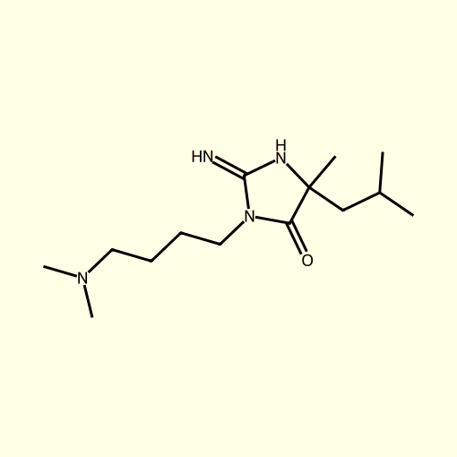 CC(C)CC1(C)NC(=N)N(CCCCN(C)C)C1=O